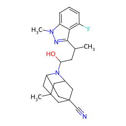 CC(CC(O)N1C2CC3(C)CC1CC(C#N)(C2)C3)c1nn(C)c2cccc(F)c12